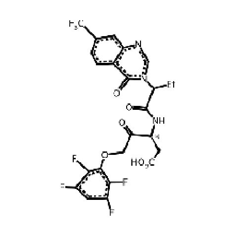 CCC(C(=O)N[C@@H](CC(=O)O)C(=O)COc1c(F)c(F)cc(F)c1F)n1cnc2cc(C(F)(F)F)ccc2c1=O